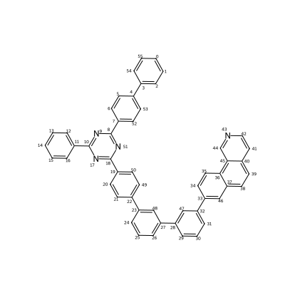 c1ccc(-c2ccc(-c3nc(-c4ccccc4)nc(-c4ccc(-c5cccc(-c6cccc(-c7ccc8c(ccc9ccncc98)c7)c6)c5)cc4)n3)cc2)cc1